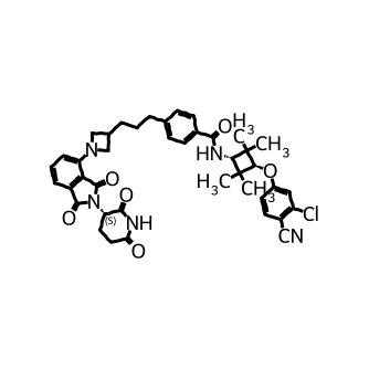 CC1(C)[C@H](NC(=O)c2ccc(CCCC3CN(c4cccc5c4C(=O)N([C@H]4CCC(=O)NC4=O)C5=O)C3)cc2)C(C)(C)[C@H]1Oc1ccc(C#N)c(Cl)c1